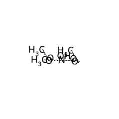 CCCCCCCCC(CC)OC(=O)CCCCCCCN(CCO)CCCCCCCC(=O)OC(CCCCCCCC)C1CC1